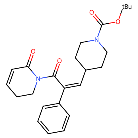 CC(C)(C)OC(=O)N1CCC(/C=C(\C(=O)N2CCC=CC2=O)c2ccccc2)CC1